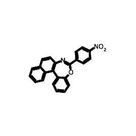 O=[N+]([O-])c1ccc(C2=Nc3ccc4ccccc4c3-c3ccccc3O2)cc1